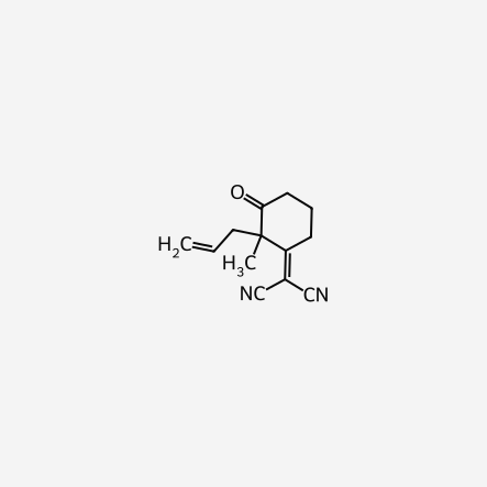 C=CCC1(C)C(=O)CCCC1=C(C#N)C#N